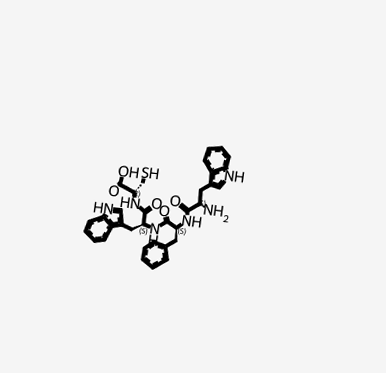 N[C@@H](Cc1c[nH]c2ccccc12)C(=O)N[C@@H](Cc1ccccc1)C(=O)N[C@@H](Cc1c[nH]c2ccccc12)C(=O)N[C@@H](CS)C(=O)O